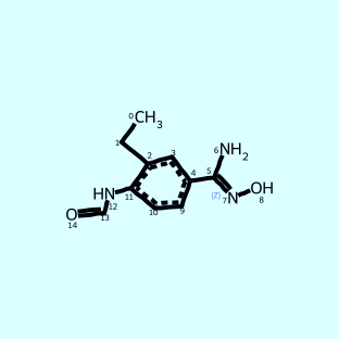 CCc1cc(/C(N)=N/O)ccc1NC=O